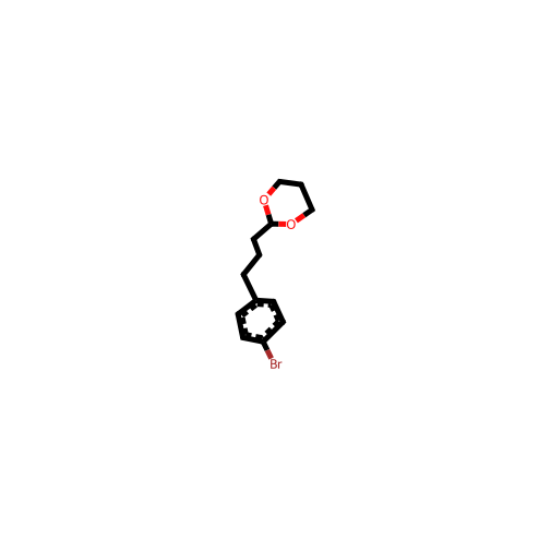 Brc1ccc(CCCC2OCCCO2)cc1